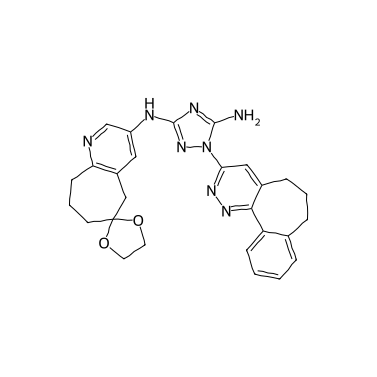 Nc1nc(Nc2cnc3c(c2)CC2(CCC3)OCCO2)nn1-c1cc2c(nn1)-c1ccccc1CCC2